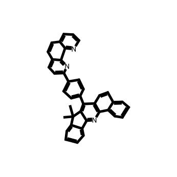 CC1(C)c2ccccc2-c2nc3c(ccc4ccccc43)c(-c3ccc(-c4ccc5ccc6cccnc6c5n4)cc3)c21